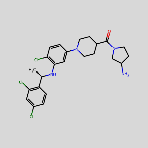 C[C@@H](Nc1cc(N2CCC(C(=O)N3CCC(N)C3)CC2)ccc1Cl)c1ccc(Cl)cc1Cl